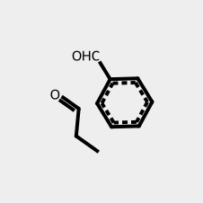 CCC=O.O=Cc1ccccc1